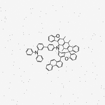 CC1C2=C3C(C)C4=C1C(C)c1oc5ccccc5c1C4(C)N(c1ccc(-c4cccc(N(c5ccccc5)c5ccccc5)c4)cc1)c1cc(-c4cccc5c4ccc4ccccc45)c4c(c1)C3(c1ccccc1O4)c1ccccc12